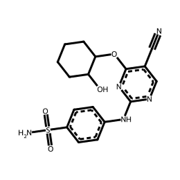 N#Cc1cnc(Nc2ccc(S(N)(=O)=O)cc2)nc1OC1CCCCC1O